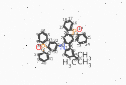 CC(C)(C)c1ccc2c(c1)c1cc(P(=O)(c3ccccc3)c3ccccc3)ccc1n2-c1ccc(P(=O)(c2ccccc2)c2ccccc2)cc1